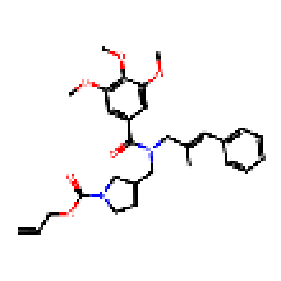 C=CCOC(=O)N1CCC(CN(C/C(C)=C/c2ccccc2)C(=O)c2cc(OC)c(OC)c(OC)c2)C1